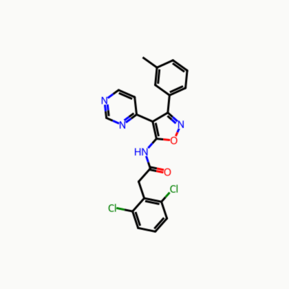 Cc1cccc(-c2noc(NC(=O)Cc3c(Cl)cccc3Cl)c2-c2ccncn2)c1